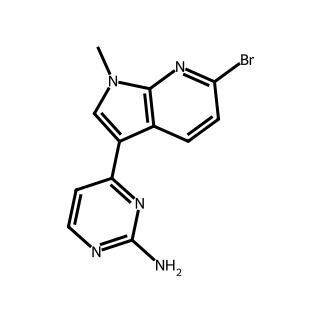 Cn1cc(-c2ccnc(N)n2)c2ccc(Br)nc21